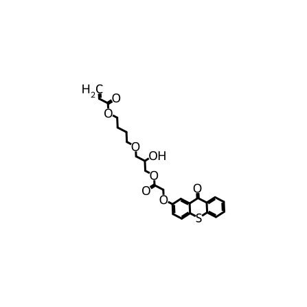 C=CC(=O)OCCCCOCC(O)COC(=O)COc1ccc2sc3ccccc3c(=O)c2c1